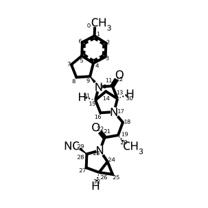 Cc1ccc2c(c1)CC[C@@H]2N1C(=O)[C@@H]2C[C@H]1CN2C[C@H](C)C(=O)N1C2C[C@H]2C[C@H]1C#N